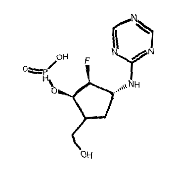 O=[PH](O)O[C@@H]1C(CO)C[C@@H](Nc2ncncn2)[C@@H]1F